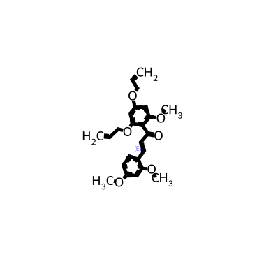 C=CCOc1cc(OC)c(C(=O)/C=C/c2ccc(OC)cc2OC)c(OCC=C)c1